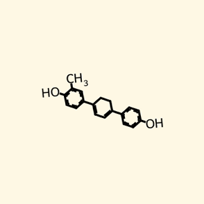 Cc1cc(C2=CC=C(c3ccc(O)cc3)CC2)ccc1O